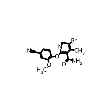 COc1cc(C#N)ccc1Oc1ncc(Br)c(C)c1C(N)=O